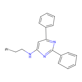 CC(C)CCNc1cc(-c2ccccc2)nc(-c2ccccc2)n1